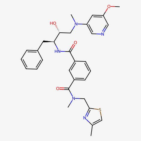 COc1cncc(N(C)C[C@@H](O)[C@H](Cc2ccccc2)NC(=O)c2cccc(C(=O)N(C)Cc3nc(C)cs3)c2)c1